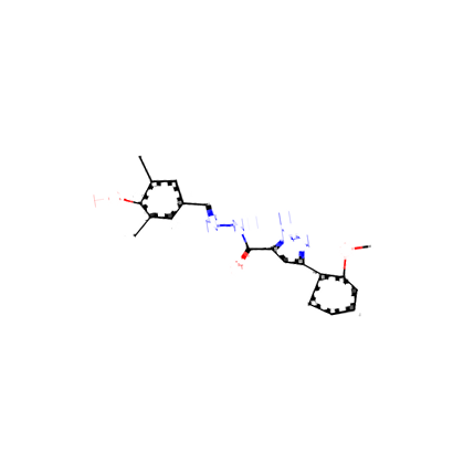 COc1ccccc1-c1cc(C(=O)N/N=C/c2cc(C)c(O)c(C)c2)[nH]n1